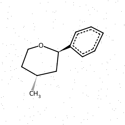 C[C@@H]1CCO[C@@H](c2ccccc2)C1